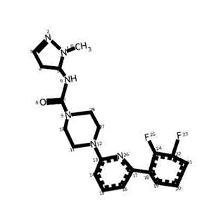 CN1N=CCC1NC(=O)N1CCN(c2cccc(-c3cccc(F)c3F)n2)CC1